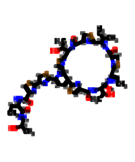 C/C=C1\NC(=O)C(C(C)O)NC(=O)c2csc(n2)-c2ccc(-c3nc(-c4nc(C(=O)N/C(=C/C)C(=O)NCC(C)O)cs4)cs3)nc2-c2csc(n2)C(C(C)O)NC(=O)c2csc(n2)C(C(C)C)NC(=O)c2csc1n2